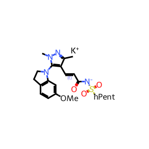 CCCCCS(=O)(=O)[N-]C(=O)/C=C/c1c(C)nn(C)c1N1CCc2ccc(OC)cc21.[K+]